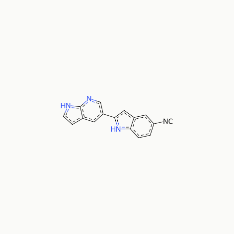 [C-]#[N+]c1ccc2[nH]c(-c3cnc4[nH]ccc4c3)cc2c1